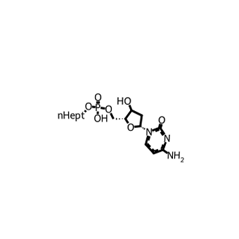 CCCCCCCOP(=O)(O)OC[C@H]1O[C@@H](n2ccc(N)nc2=O)CC1O